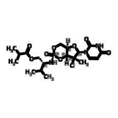 CC(C)C(=O)OC[C@H](N[P@]1(=O)OC[C@H]2O[C@@H](n3ccc(=O)[nH]c3=O)[C@](C)(Cl)[C@@H]2O1)C(C)C